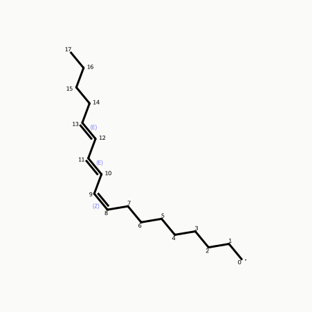 [CH2]CCCCCCC\C=C/C=C/C=C/CCCC